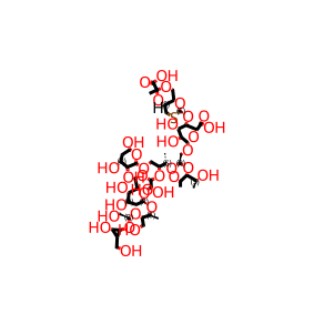 CC(=O)C(O[C@H](COC1OC(C(=O)O)C(O[C@@H]2OC3COC(C)(C(=O)O)O[C@@H]3CS2)C(O)C1O)O[C@@H](C)C(COC1OC(O)C[C@@H](O)C1O)OC(OCC1O[C@@H](O[C@@H](C)C(CO)O[C@H](CO)OC2C(O)C2CO)C[C@@H](O)C1O)C(O)O)[C@H](C)O